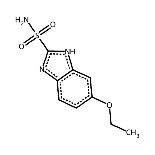 CCOc1ccc2nc(S(N)(=O)=O)[nH]c2c1